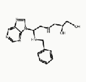 OCC(O)CNCC(NCc1ccccc1)n1cnc2cncnc21